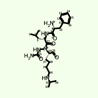 CC(C)C[C@H](NC(=O)[C@H](N)Cc1ccccc1)C(=O)N(NC(N)=O)[C@H]([C]=O)CCCCNC(C)C